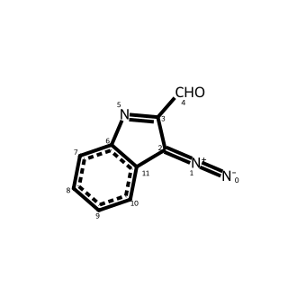 [N-]=[N+]=C1C(C=O)=Nc2ccccc21